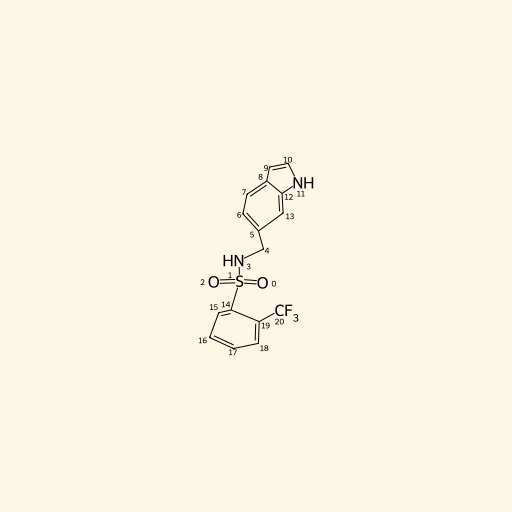 O=S(=O)(NCc1ccc2cc[nH]c2c1)c1ccccc1C(F)(F)F